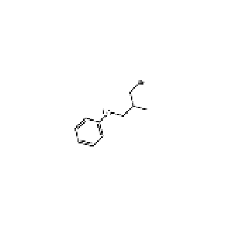 CC(CBr)CNc1ccccc1